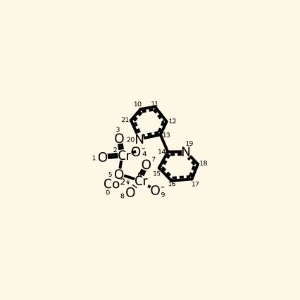 [Co+2].[O]=[Cr](=[O])([O-])[O][Cr](=[O])(=[O])[O-].c1ccc(-c2ccccn2)nc1